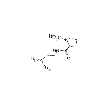 CN(C)CCNC(=O)[C@@H]1CCCN1C(=O)O